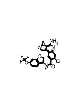 CN(C(=O)c1cc2c(cc1Cl)nc(N)c1c2cnn1C)[C@@H]1COc2cc(OC(F)(F)F)ccc21